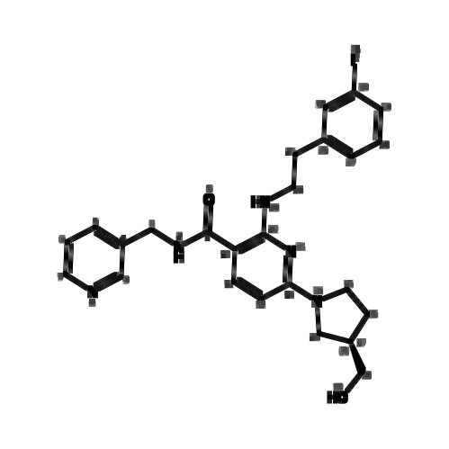 O=C(NCc1cccnc1)c1ccc(N2CC[C@@H](CO)C2)nc1NCCc1cccc(F)c1